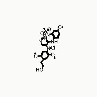 COc1ccc(Nc2ncncc2N(Cl)c2cc(OC)c(CCO)cc2OC)c(NS(C)(=O)=O)c1